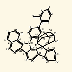 Cc1ccccc1-c1ccc(-n2c3c4c(ccc3c3ccc5ccccc5c32)-c2ccccc2C42C3CC4CC(C3)CC2C4)cc1